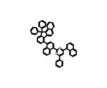 c1ccc(-c2cc(-c3cccc4ccccc34)nc(-c3ccc(-c4cccc5c4-c4ccc6ccccc6c4C5(c4ccccc4)c4ccccc4)c4ccccc34)n2)cc1